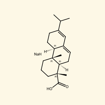 CC(C)C1=CC2=CC[C@@H]3[C@](C)(CCC[C@@]3(C)C(=O)O)[C@H]2CC1.[NaH]